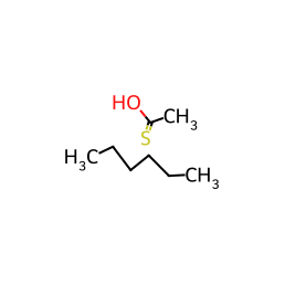 CC(O)=S.CCCCCC